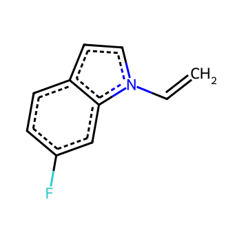 C=Cn1ccc2ccc(F)cc21